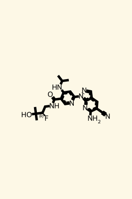 CC(C)Nc1cc(-n2ncc3cc(C#N)c(N)nc32)ncc1C(=O)NC[C@@H](F)C(C)(C)O